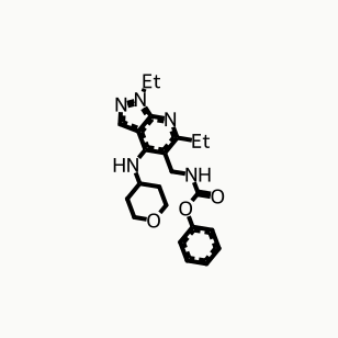 CCc1nc2c(cnn2CC)c(NC2CCOCC2)c1CNC(=O)Oc1ccccc1